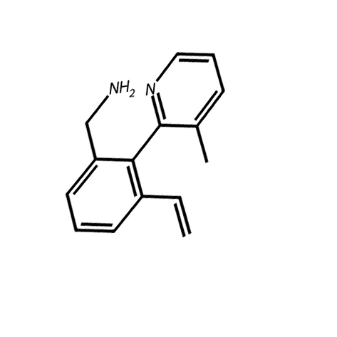 C=Cc1cccc(CN)c1-c1ncccc1C